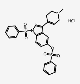 CN1CC=C(c2cn(S(=O)(=O)c3ccccc3)c3ccc(OS(=O)(=O)c4ccccc4)cc23)CC1.Cl